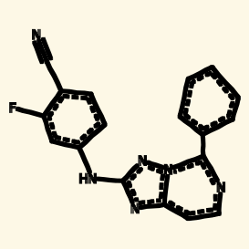 N#Cc1ccc(Nc2nc3ccnc(-c4ccccc4)n3n2)cc1F